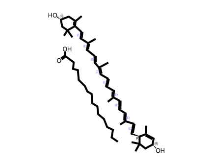 CC1=C[C@H](O)CC(C)(C)[C@H]1/C=C/C(C)=C/C=C/C(C)=C/C=C/C=C(C)/C=C/C=C(C)/C=C/C1=C(C)C[C@@H](O)CC1(C)C.CCCCCCCCCCCCCCCC(=O)O